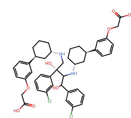 O=C(O)COc1cccc([C@@H]2CCC[C@@H](NC(C(O)c3cccc(Cl)c3)[C@](O)(CN[C@H]3CCC[C@H](c4cccc(OCC(=O)O)c4)C3)c3cccc(Cl)c3)C2)c1